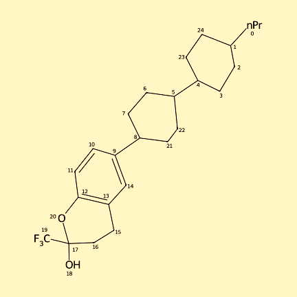 CCCC1CCC(C2CCC(c3ccc4c(c3)CCC(O)(C(F)(F)F)O4)CC2)CC1